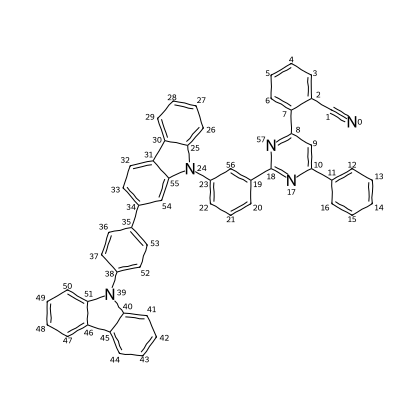 N#Cc1ccccc1-c1cc(-c2ccccc2)nc(-c2cccc(-n3c4ccccc4c4ccc(-c5ccc(-n6c7ccccc7c7ccccc76)cc5)cc43)c2)n1